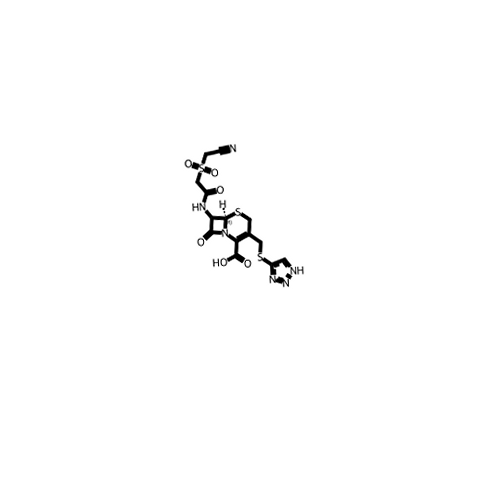 N#CCS(=O)(=O)CC(=O)NC1C(=O)N2C(C(=O)O)=C(CSc3c[nH]nn3)CS[C@H]12